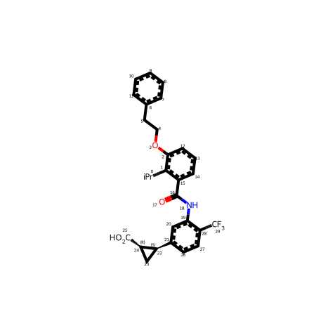 CC(C)c1c(OCCc2ccccc2)cccc1C(=O)Nc1cc([C@H]2C[C@H]2C(=O)O)ccc1C(F)(F)F